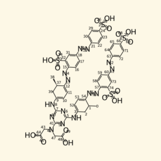 CC1CC(Nc2nc(NC3=CC=C(N=Nc4ccc(N=Nc5ccc(S(=O)(=O)O)cc5)cc4S(=O)(=O)O)[C@H](C)C3)nc(N(CC(=O)O)CC(=O)O)n2)=CC=C1N=Nc1ccc(N=Nc2ccc(S(=O)(=O)O)cc2)cc1S(=O)(=O)O